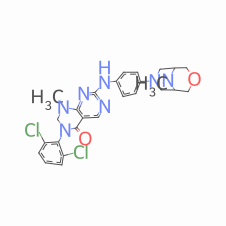 CN1CN(c2c(Cl)cccc2Cl)C(=O)c2cnc(Nc3ccc(N4CC5COCC(C4)N5C)cc3)nc21